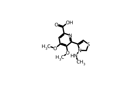 CNN1CSC=C1c1nc(C(=O)O)cc(OC)c1OC